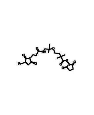 CC(C)C1CC(=O)N(CCC(=O)NCC(C)(C)OCCC(C)(C)C(=O)ON2C(=O)CCC2=O)C1=O